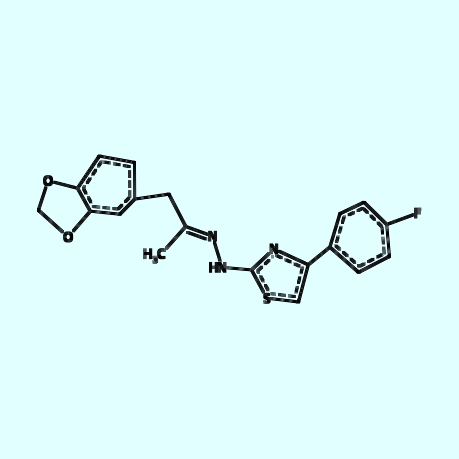 C/C(Cc1ccc2c(c1)OCO2)=N\Nc1nc(-c2ccc(F)cc2)cs1